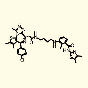 Cc1nc(NC(=O)c2cccc(NCCCCNC(=O)C[C@@H]3N=C(c4ccc(Cl)cc4)c4c(sc(C)c4C)-n4c(C)nnc43)c2C)sc1C